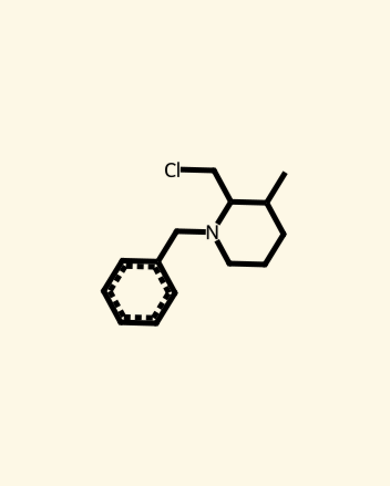 CC1CCCN(Cc2ccccc2)C1CCl